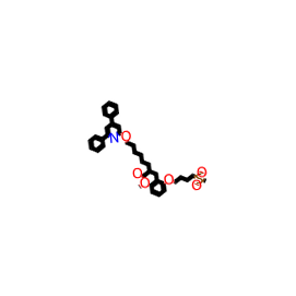 COC(=O)C(CCCCCCOc1cc(-c2ccccc2)cc(-c2ccccc2)n1)Cc1ccccc1OCCCCS(C)(=O)=O